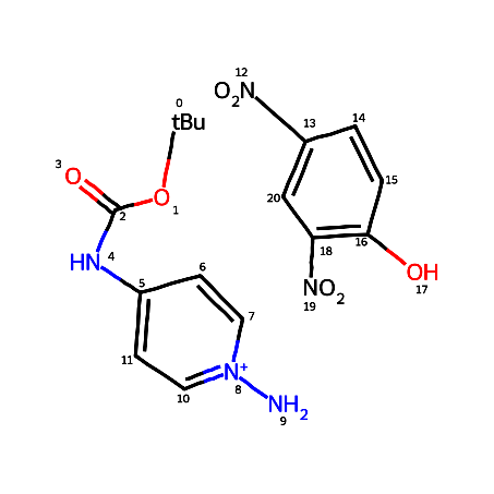 CC(C)(C)OC(=O)Nc1cc[n+](N)cc1.O=[N+]([O-])c1ccc(O)c([N+](=O)[O-])c1